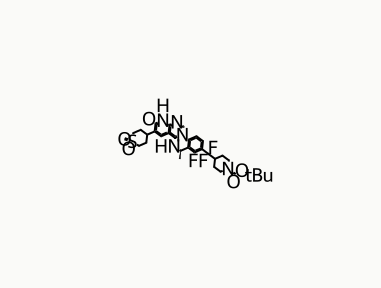 C[C@@H](Nc1ncnc2[nH]c(=O)c(C3CCS(=O)(=O)CC3)cc12)c1cccc(C(F)(F)C2CCN(C(=O)OC(C)(C)C)CC2)c1F